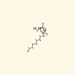 CCCCCCCCCC(C)(C)OC(C)N